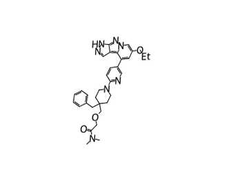 CCOc1cc(-c2ccc(N3CCC(COCC(=O)N(C)C)(Cc4ccccc4)CC3)nc2)c2c3cn[nH]c3nn2c1